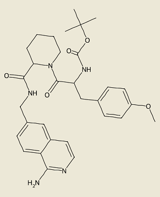 COc1ccc(CC(NC(=O)OC(C)(C)C)C(=O)N2CCCCC2C(=O)NCc2ccc3c(N)nccc3c2)cc1